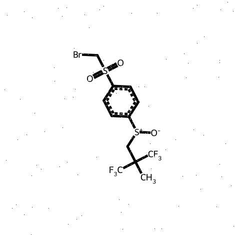 CC(C[S+]([O-])c1ccc(S(=O)(=O)CBr)cc1)(C(F)(F)F)C(F)(F)F